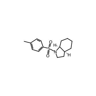 Cc1ccc(S(=O)(=O)N2CC[C@@H]3CCCC[C@@H]32)cc1